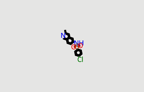 Cc1cc2cc(NS(=O)(=O)c3ccc(Cl)cc3)ccc2cn1